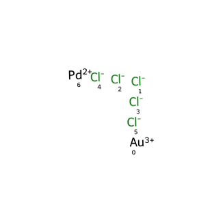 [Au+3].[Cl-].[Cl-].[Cl-].[Cl-].[Cl-].[Pd+2]